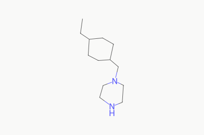 CCC1CCC(CN2CCNCC2)CC1